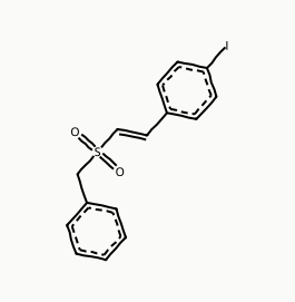 O=S(=O)(/C=C/c1ccc(I)cc1)Cc1ccccc1